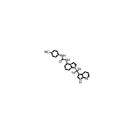 [2H]C([2H])(c1c[nH]c2ncccc12)n1ccc2c(NC(=O)Nc3ccc(C#N)cc3)cccc21